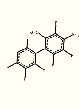 Bc1c(F)c(F)c(-c2c(F)cc(C)c(F)c2F)c(OC)c1F